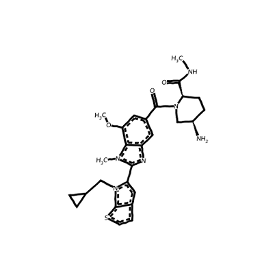 CNC(=O)[C@H]1CC[C@@H](N)CN1C(=O)c1cc(OC)c2c(c1)nc(-c1cc3ccsc3n1CC1CC1)n2C